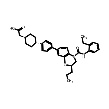 CCCC1CN(C(=O)Nc2ccccc2CC)c2ccc(-c3ccc([C@H]4CC[C@H](CC(=O)O)CC4)cc3)cc2O1